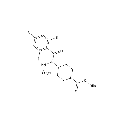 CCOC(=O)NN(C(=O)c1c(Br)cc(F)cc1I)C1CCN(C(=O)OC(C)(C)C)CC1